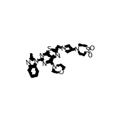 Cc1nc2ccccc2n1-c1nc(N2CCOCC2)c2nc(CN3CC(N4CCS(=O)(=O)CC4)C3)sc2n1